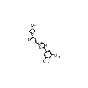 O=C(C=Cn1cnc(-c2cc(C(F)(F)F)cc(C(F)(F)F)c2)n1)N1CC(O)C1